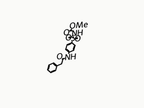 COC(=O)NS(=O)(=O)c1ccc(NC(=O)Cc2ccccc2)cc1